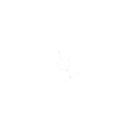 CC1C=C(C(O)(O)C(C)(C)C)C=CN1C